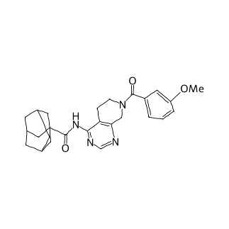 COc1cccc(C(=O)N2CCc3c(ncnc3NC(=O)C34CC5CC(CC(C5)C3)C4)C2)c1